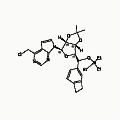 CC[Si](CC)(CC)OC(c1ccc2c(c1)CC2)[C@H]1O[C@@H](n2ccc3c(CCl)ncnc32)[C@@H]2OC(C)(C)O[C@@H]21